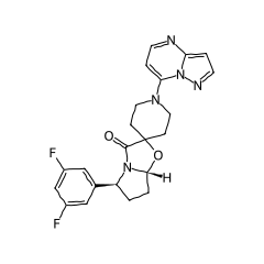 O=C1N2[C@@H](CC[C@H]2c2cc(F)cc(F)c2)OC12CCN(c1ccnc3ccnn13)CC2